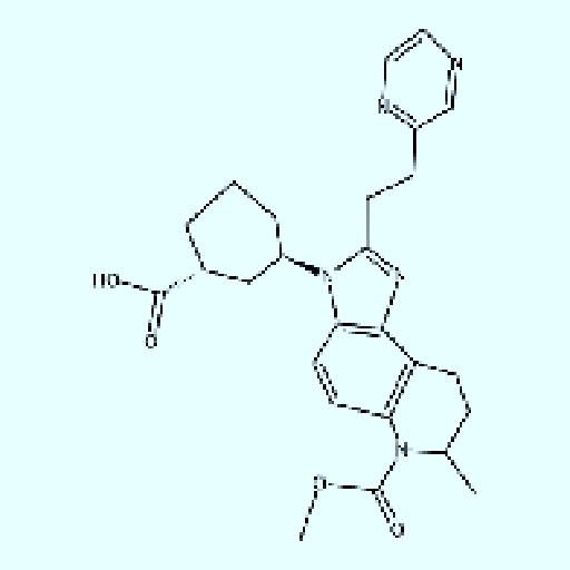 COC(=O)N1c2ccc3c(nc(CCc4cnccn4)n3[C@@H]3CCC[C@@H](C(=O)O)C3)c2CCC1C